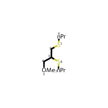 CCCSCC(COC)SCCC